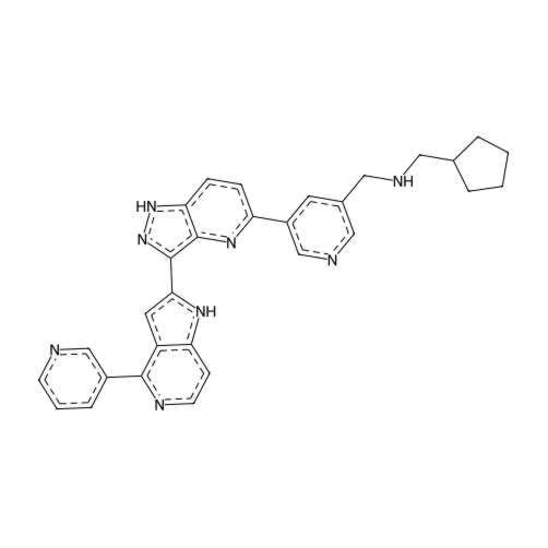 c1cncc(-c2nccc3[nH]c(-c4n[nH]c5ccc(-c6cncc(CNCC7CCCC7)c6)nc45)cc23)c1